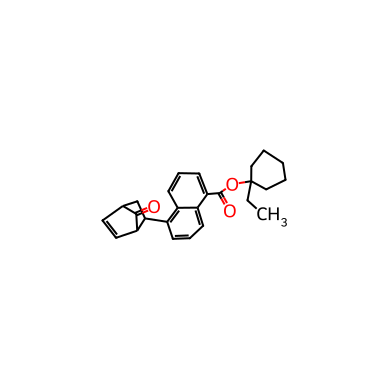 CCC1(OC(=O)c2cccc3c(C4CC5C=CC4C5=O)cccc23)CCCCC1